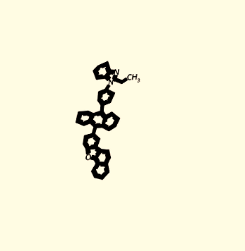 CCc1nc2ccccc2n1-c1ccc(-c2c3ccccc3c(-c3ccc4oc5c6ccccc6ccc5c4c3)c3ccccc23)cc1